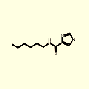 CCCCCCNC(=O)c1c[nH]cn1